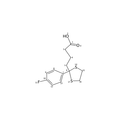 O=C(O)CCCC1(c2ccc(F)cc2)SCCS1